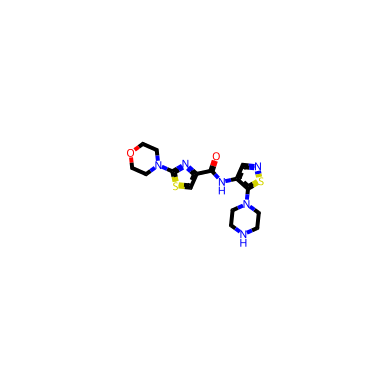 O=C(Nc1cnsc1N1CCNCC1)c1csc(N2CCOCC2)n1